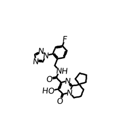 O=C(NCc1ccc(F)cc1-n1cncn1)c1nc2n(c(=O)c1O)CCCC21CCCC1